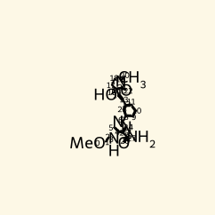 COCCNc1cnc(-c2cccc(C#C[C@]3(O)CCN(C)C3=O)c2)nc1C(N)=O